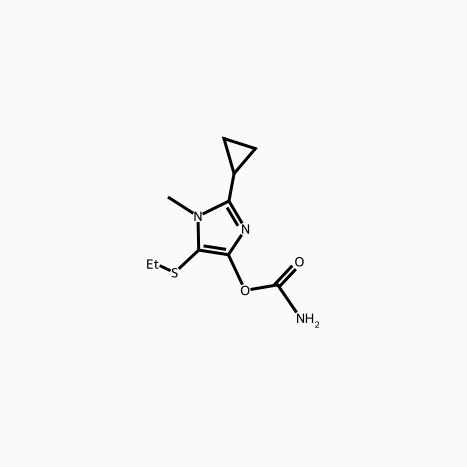 CCSc1c(OC(N)=O)nc(C2CC2)n1C